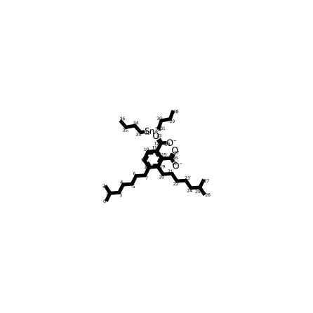 CC(C)CCCCCc1ccc(C(=O)[O-])c(C(=O)[O-])c1CCCCCC(C)C.CCC[CH2][Sn+2][CH2]CCC